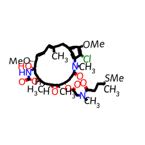 COc1cc2cc(c1Cl)N(C)C(=O)C[C@H](OC(=O)CN(C)C(=O)CCC(C)SC)[C@]1(C)O[C@H]1[C@H](C)[C@@H]1C[C@@](O)(NC(=O)O1)[C@H](OC)/C=C/C=C(\C)C2